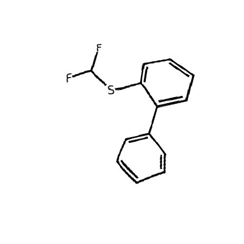 FC(F)Sc1ccccc1-c1ccccc1